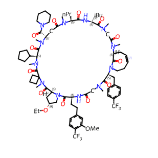 CCC[C@H]1C(=O)N[C@@H]([C@@H](C)CC)C(=O)N(C)CC(=O)N(C)[C@H]2C/C=C\CCN(C2=O)[C@@H](Cc2ccc(C(F)(F)F)cc2)C(=O)N(C)CC(=O)N[C@@H](CCc2ccc(C(F)(F)F)c(OC)c2)C(=O)N2C[C@H](OCC)C[C@H]2C(=O)N(C)C2(CCC2)C(=O)N(C)[C@@H](C2CCCC2)C(=O)N(C)[C@H](C(=O)N2CCCCC2)CC(=O)N1C